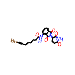 O=C1CCC(N2C(=O)c3cccc(NC(=O)CCCCCC#CBr)c3C2=O)C(=O)N1